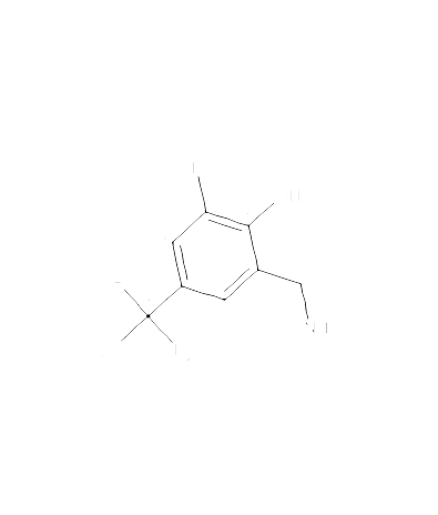 NCc1cc(C(F)(F)F)cc(F)c1O